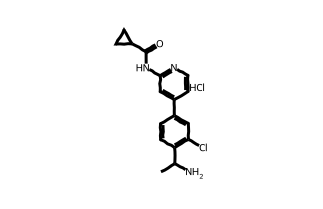 CC(N)c1ccc(-c2ccnc(NC(=O)C3CC3)c2)cc1Cl.Cl